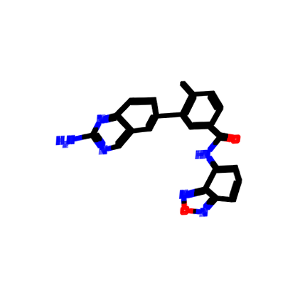 Cc1ccc(C(=O)Nc2cccc3nonc23)cc1-c1ccc2nc(N)ncc2c1